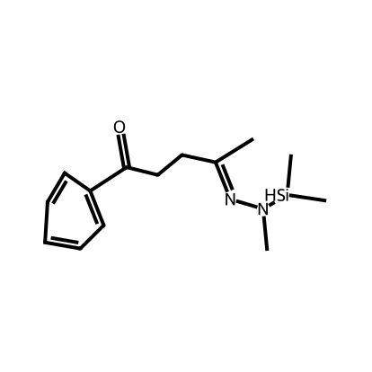 CC(CCC(=O)c1ccccc1)=NN(C)[SiH](C)C